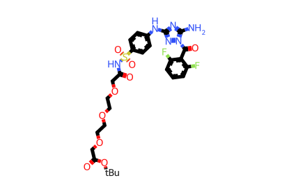 CC(C)(C)OC(=O)COCCOCCOCC(=O)NS(=O)(=O)c1ccc(Nc2nc(N)n(C(=O)c3c(F)cccc3F)n2)cc1